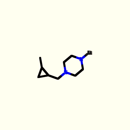 CCN1CCN(CC2CC2C)CC1